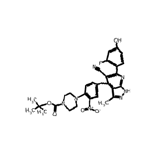 Cc1n[nH]c2nc(-c3ccc(O)cc3F)c(C#N)c(-c3ccc(N4CCN(C(=O)OC(C)(C)C)CC4)c([N+](=O)[O-])c3)c12